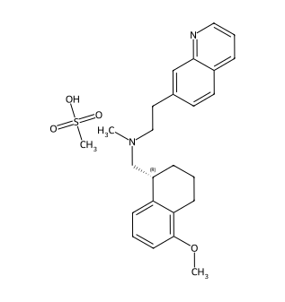 COc1cccc2c1CCC[C@H]2CN(C)CCc1ccc2cccnc2c1.CS(=O)(=O)O